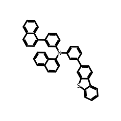 c1cc(-c2ccc3c(c2)sc2ccccc23)cc(N(c2cccc(-c3cccc4ccccc34)c2)c2cccc3ccccc23)c1